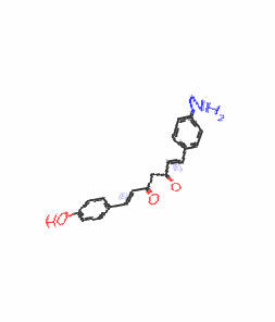 Nc1ccc(/C=C/C(=O)CC(=O)/C=C/c2ccc(O)cc2)cc1